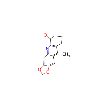 Cc1c2c(nc3cc4c(cc13)OCO4)C(O)CCC2